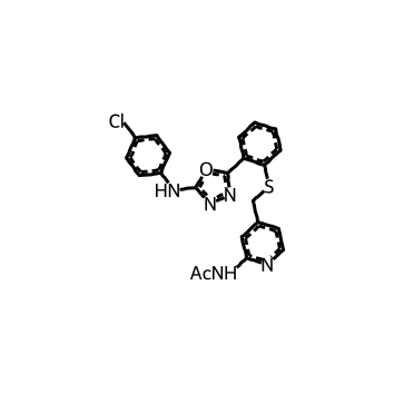 CC(=O)Nc1cc(CSc2ccccc2-c2nnc(Nc3ccc(Cl)cc3)o2)ccn1